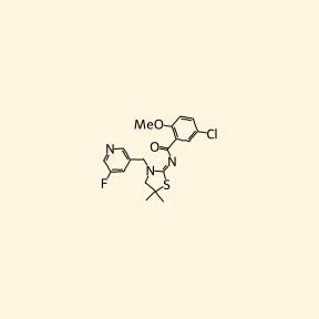 COc1ccc(Cl)cc1C(=O)N=C1SC(C)(C)CN1Cc1cncc(F)c1